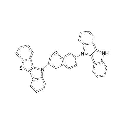 c1ccc2c(c1)[nH]c1c3ccccc3n(-c3ccc4cc(-n5c6ccccc6c6sc7ccccc7c65)ccc4c3)c21